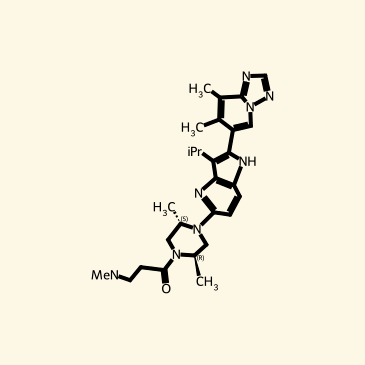 CNCCC(=O)N1C[C@H](C)N(c2ccc3[nH]c(-c4cn5ncnc5c(C)c4C)c(C(C)C)c3n2)C[C@H]1C